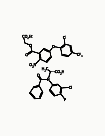 CCOC(=O)COC(=O)c1cc(Oc2ccc(C(F)(F)F)cc2Cl)ccc1[N+](=O)[O-].C[C@H](C(=O)O)N(C(=O)c1ccccc1)c1ccc(F)c(Cl)c1